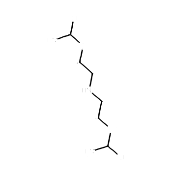 CC(N)OCCNCCOC(C)N